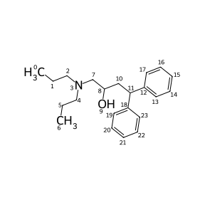 CCCN(CCC)CC(O)CC(c1ccccc1)c1ccccc1